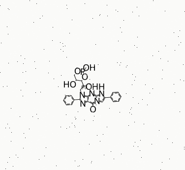 O=c1c2nc(-c3ccccc3)n(C[C@@H](O)C3OP(O)OCC3O)c2nc2[nH]c(-c3ccccc3)cn12